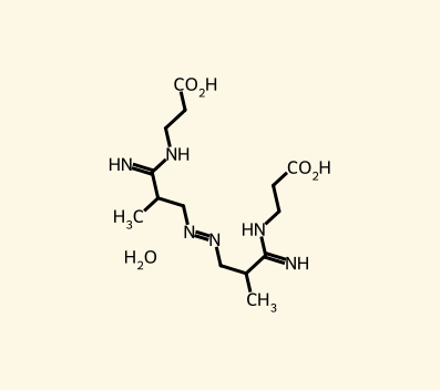 CC(CN=NCC(C)C(=N)NCCC(=O)O)C(=N)NCCC(=O)O.O